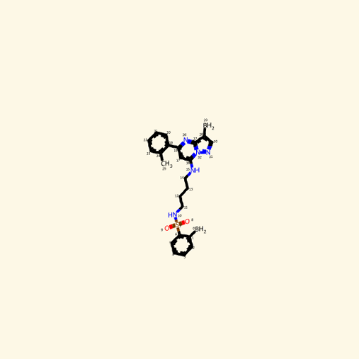 Bc1ccccc1S(=O)(=O)NCCCCNc1cc(-c2ccccc2C)nc2c(B)cnn12